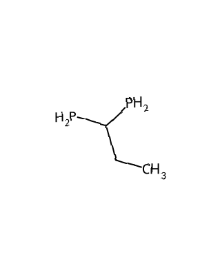 CCC(P)P